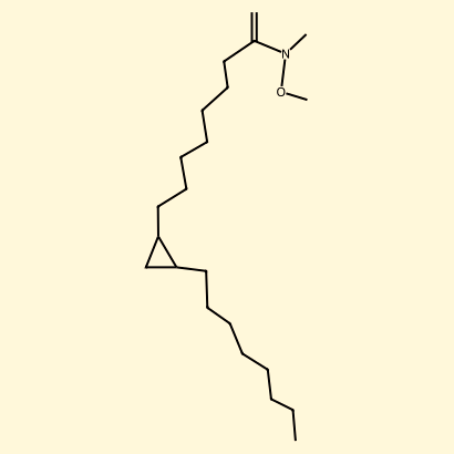 C=C(CCCCCCCC1CC1CCCCCCCC)N(C)OC